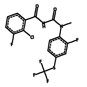 CN(C(=O)NC(=O)c1cccc(F)c1Cl)c1ccc(SC(F)(F)F)cc1F